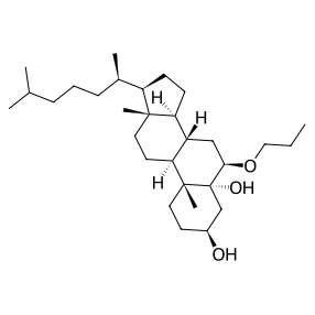 CCCO[C@@H]1C[C@H]2[C@@H]3CC[C@H]([C@H](C)CCCC(C)C)[C@@]3(C)CC[C@@H]2[C@@]2(C)CC[C@H](O)C[C@]12O